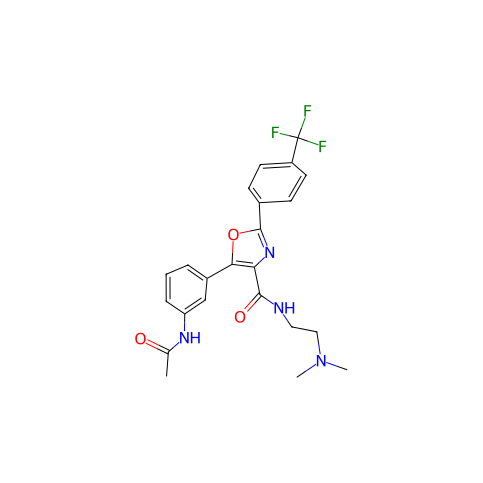 CC(=O)Nc1cccc(-c2oc(-c3ccc(C(F)(F)F)cc3)nc2C(=O)NCCN(C)C)c1